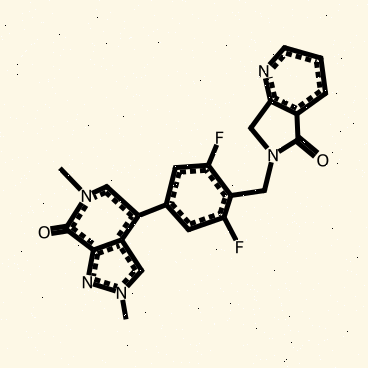 Cn1cc2c(-c3cc(F)c(CN4Cc5ncccc5C4=O)c(F)c3)cn(C)c(=O)c2n1